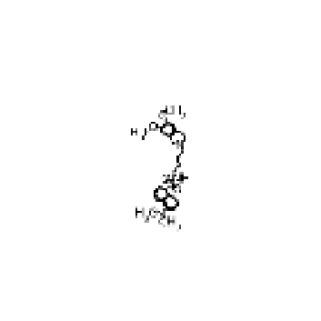 COc1cc2c(cc1OC)CN(CCCCNS(=O)(=O)c1cccc3c(N(C)C)cccc13)CC2